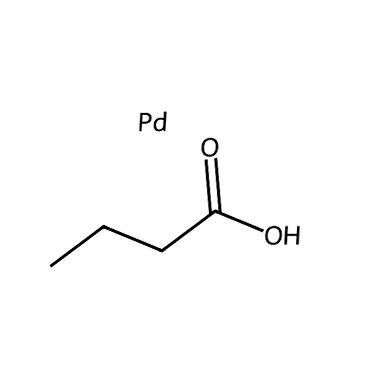 CCCC(=O)O.[Pd]